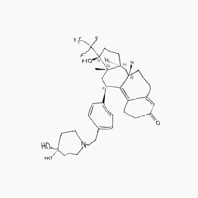 C[C@]12C[C@H](c3ccc(CN4CCS(O)(O)CC4)cc3)C3=C4CCC(=O)C=C4CC[C@H]3[C@@H]1CC[C@@]2(O)C(F)(F)C(F)(F)F